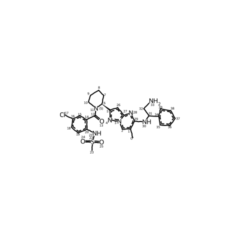 Cc1cn2nc([C@@H]3CCCCN3C(=O)c3cc(Cl)ccc3NS(C)(=O)=O)cc2nc1NC(CN)c1ccccc1